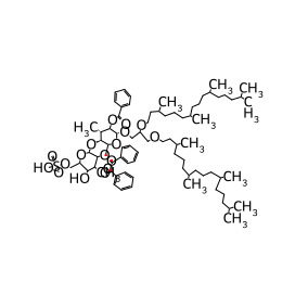 CC(C)CCCC(C)CCCC(C)CCCC(C)CCOCC(CO[C@@H]1OC(COC(=O)c2ccccc2)[C@@H](O[C@@H]2OC(COS(=O)(=O)O)[C@H](O)[C@H](C)C2OC(=O)c2ccccc2)[C@H](C)C1OC(=O)c1ccccc1)OCCC(C)CCCC(C)CCCC(C)CCCC(C)C